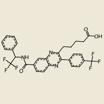 O=C(O)CCCCc1nc2cc(C(=O)NC(c3ccccc3)C(F)(F)F)ccc2nc1-c1ccc(C(F)(F)F)cc1